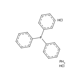 Cl.Cl.P.c1ccc(P(c2ccccc2)c2ccccc2)cc1